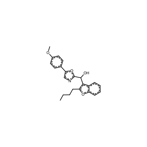 CCCCc1oc2ccccc2c1C(O)c1ncc(-c2ccc(OC)cc2)o1